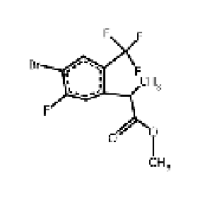 COC(=O)C(C)c1cc(F)c(Br)cc1C(F)(F)F